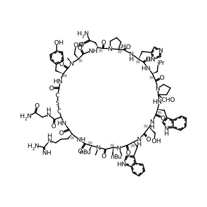 CCCC[C@H]1C(=O)N(C)[C@@H](CCCC)C(=O)N[C@@H](CCCNC(=N)N)C(=O)NC(C(=O)NCC(N)=O)CSCC(=O)N[C@@H](Cc2ccc(O)cc2)C(=O)N(C)[C@@H](CO)C(=O)N[C@@H](CC(N)=O)C(=O)N2CCC[C@H]2C(=O)N[C@@H](Cc2cnc[nH]2)C(=O)N[C@@H](CC(C)C)C(=O)N2CCCC2(C=O)N[C@@H](Cc2c[nH]c3ccccc23)C(=O)N[C@@H](CO)C(=O)N[C@@H](Cc2c[nH]c3ccccc23)C(=O)N1C